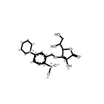 O=C1OC(C(O)CO)C(OCc2cc(N3CCCCC3)ccc2[N+](=O)[O-])=C1O